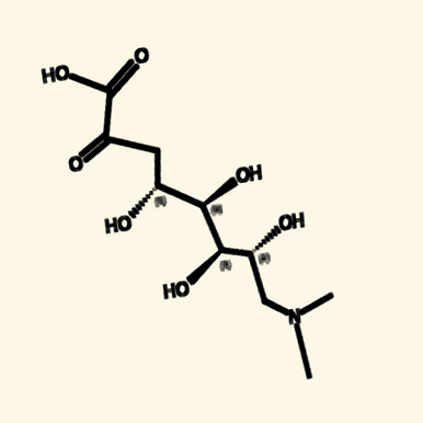 CN(C)C[C@@H](O)[C@@H](O)[C@H](O)[C@H](O)CC(=O)C(=O)O